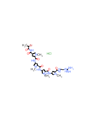 C=C(Br)C(=O)NC(=O)c1cc(C(=O)Nc2cc(C(=O)Nc3cc(C(=O)Nc4cc(C(=O)NCCNC(=N)N)n(C)c4)n(C)c3)n(C)c2)n(C)c1.Cl